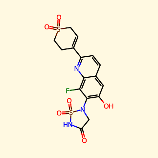 O=C1CN(c2c(O)cc3ccc(C4=CCS(=O)(=O)CC4)nc3c2F)S(=O)(=O)N1